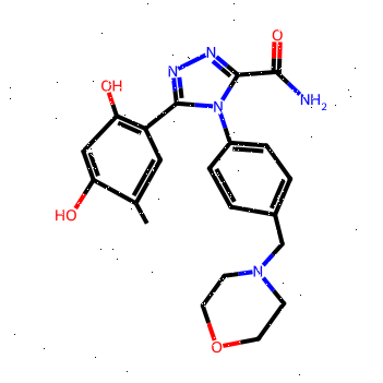 Cc1cc(-c2nnc(C(N)=O)n2-c2ccc(CN3CCOCC3)cc2)c(O)cc1O